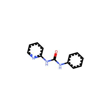 O=C(Nc1cc[c]cc1)Nc1ccccn1